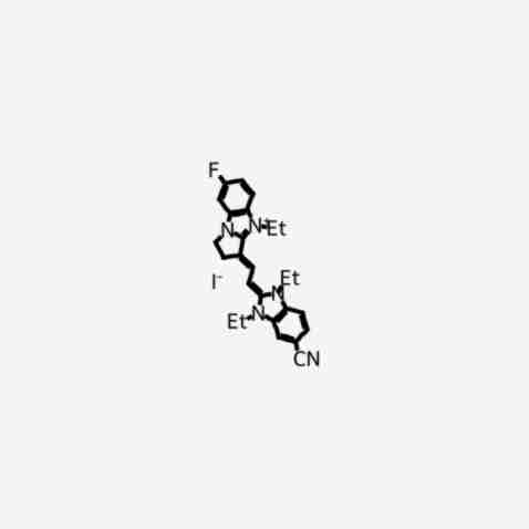 CCN1C(=CC=C2CCn3c2[n+](CC)c2ccc(F)cc23)N(CC)c2cc(C#N)ccc21.[I-]